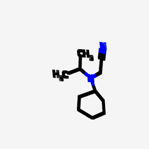 CC(C)N(CC#N)C1CCCCC1